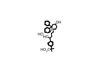 CC(C)(C(=O)O)c1ccc(C(O)CCC[N+]2(C)CCC(O)CC2(c2ccccc2)c2ccccc2)cc1.Cl